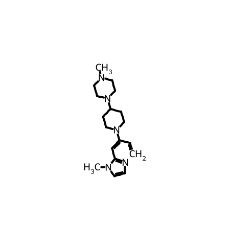 C=C/C(=C\c1nccn1C)N1CCC(N2CCN(C)CC2)CC1